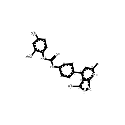 COc1cc([N+](=O)[O-])ccc1NC(=O)Nc1ccc(-c2cc(C)nc3onc(N)c23)cc1